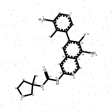 Cc1c(N)cncc1-c1cc2cc(NC(=O)OC3(C)CCOC3)ncc2c(N)c1F